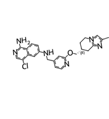 Cc1cn2c(n1)C[C@H](COc1cc(CNc3ccc4c(N)ncc(Cl)c4c3)ccn1)CC2